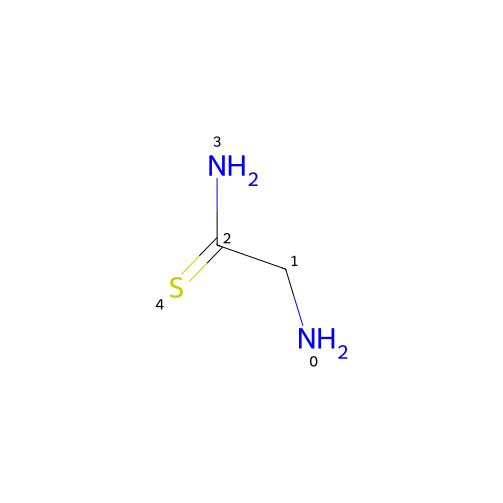 NCC(N)=S